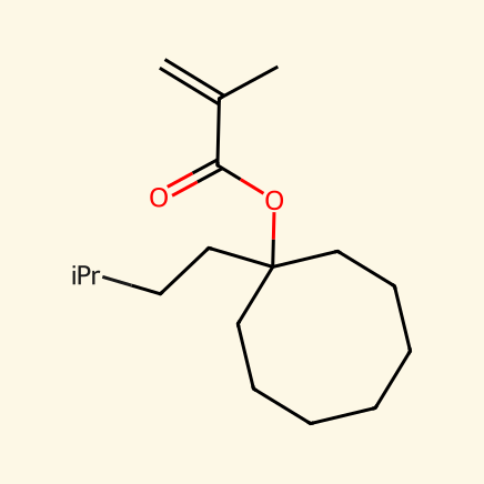 C=C(C)C(=O)OC1(CCC(C)C)CCCCCCC1